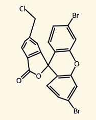 O=C1OC2(c3ccc(Br)cc3Oc3cc(Br)ccc32)c2cc(CCl)ccc21